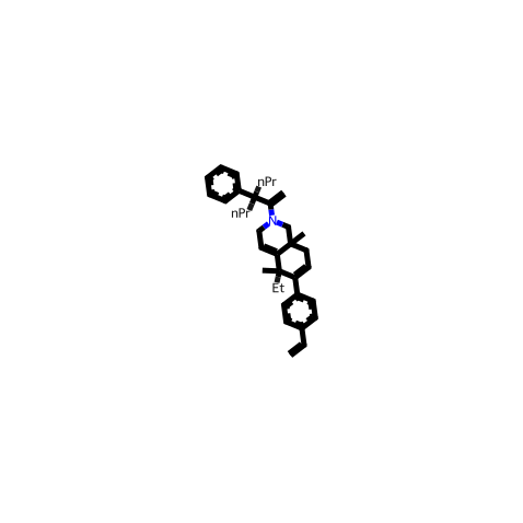 C=Cc1ccc(C2=CCC3(C)CN(C(=C)C(CCC)(CCC)c4ccccc4)CC=C3C2(C)CC)cc1